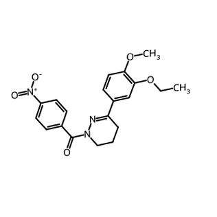 CCOc1cc(C2=NN(C(=O)c3ccc([N+](=O)[O-])cc3)CCC2)ccc1OC